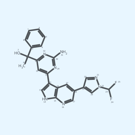 CC(O)(c1ccccc1)c1cc(-c2c[nH]c3ncc(-c4cnn(C(F)F)c4)cc23)nc(N)n1